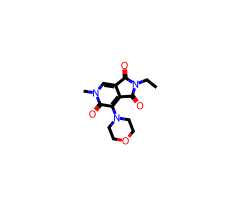 CCN1C(=O)c2cn(C)c(=O)c(N3CCOCC3)c2C1=O